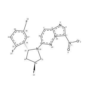 O=[N+]([O-])c1cnc2ccc(N3C[C@@H](F)C[C@@H]3c3cc(F)ccc3F)nn12